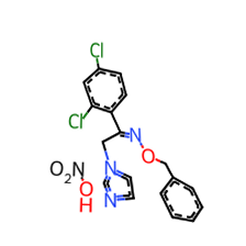 Clc1ccc(C(Cn2ccnc2)=NOCc2ccccc2)c(Cl)c1.O=[N+]([O-])O